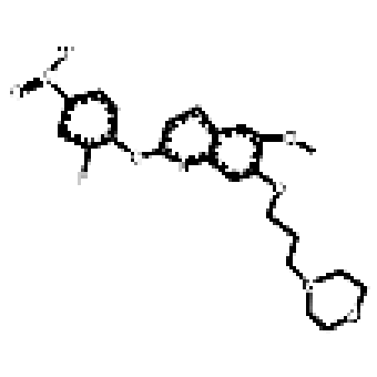 COc1cc2ccc(Oc3ccc([N+](=O)[O-])cc3F)nc2cc1OCCCN1CCOCC1